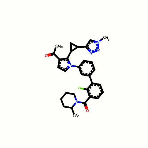 CCCC1CCCCN1C(=O)c1cccc(-c2cccc(-n3ccc(C(=O)OC)c3C3CC3c3cn(C)nn3)c2)c1F